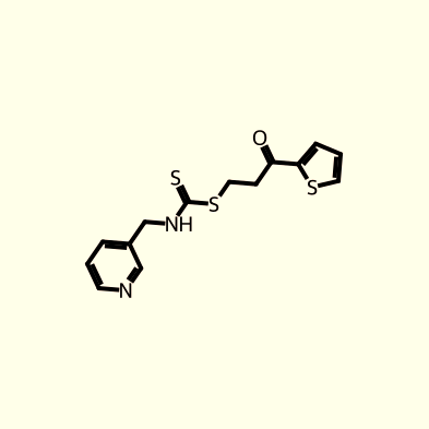 O=C(CCSC(=S)NCc1cccnc1)c1cccs1